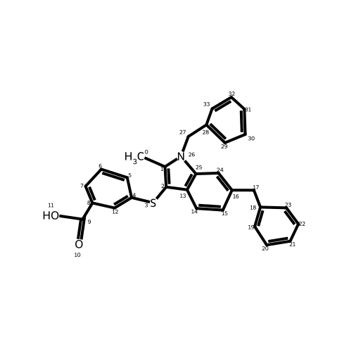 Cc1c(Sc2cccc(C(=O)O)c2)c2ccc(Cc3ccccc3)cc2n1Cc1ccccc1